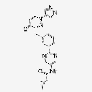 COCC(=O)Nc1cnc(-c2cccc(Cc3nn(-c4cnn(C)c4)ccc3=O)c2)nc1